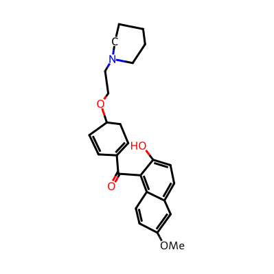 COc1ccc2c(C(=O)C3=CCC(OCCN4CCCCC4)C=C3)c(O)ccc2c1